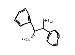 CCC(c1ccccc1)C(N)c1ccccc1.Cl